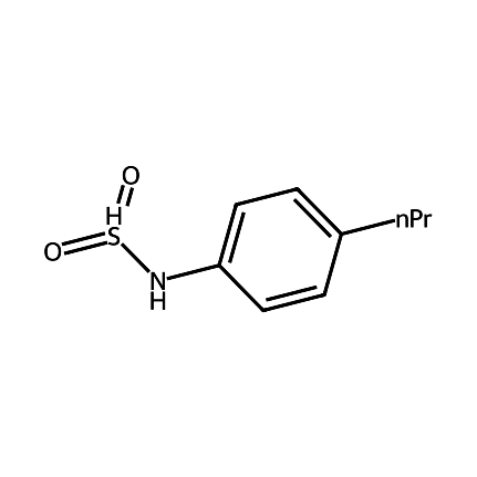 [CH2]CCc1ccc(N[SH](=O)=O)cc1